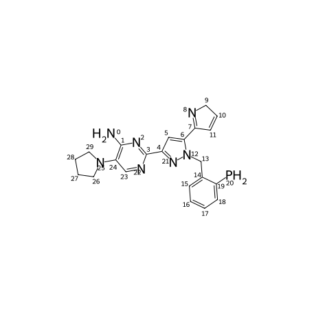 Nc1nc(-c2cc(C3=NCC=C3)n(Cc3ccccc3P)n2)ncc1N1CCCC1